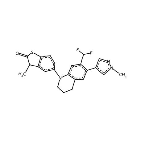 CC1C(=O)Sc2ccc(N3CCCc4cc(-c5cnn(C)c5)c(C(F)F)cc43)cc21